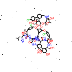 CN[C@H](CC(C)C)C(=O)N[C@H]1C(=O)N[C@@H](CC(N)=O)C(=O)N[C@H]2C(=N)N[C@H]3C(=O)N[C@H](C(=O)N[C@H](CO)C4=CC(O)CC(C)(O)C4C4CC3=CC=C4O)[C@H](O)C3=CC=C(Oc4cc2cc(c4O[C@H]2OC(CO)C(O)[C@@H]4c5cc(ccc5-c5ccc(Cl)cc5)CNC5(C)C[C@H](OC24)OC(C)[C@H]5O)OC2=C(Cl)C=C(CC2)[C@H]1O)C(Cl)C3